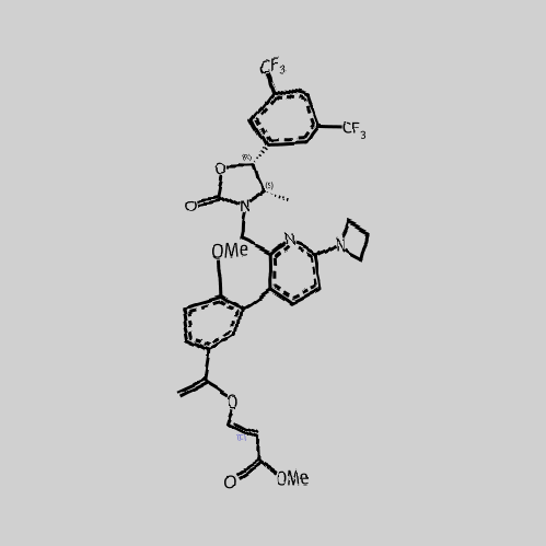 C=C(O/C=C/C(=O)OC)c1ccc(OC)c(-c2ccc(N3CCC3)nc2CN2C(=O)O[C@H](c3cc(C(F)(F)F)cc(C(F)(F)F)c3)[C@@H]2C)c1